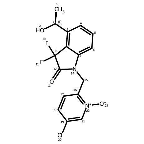 C[C@H](O)c1cccc2c1C(F)(F)C(=O)N2Cc1ccc(Cl)c[n+]1[O-]